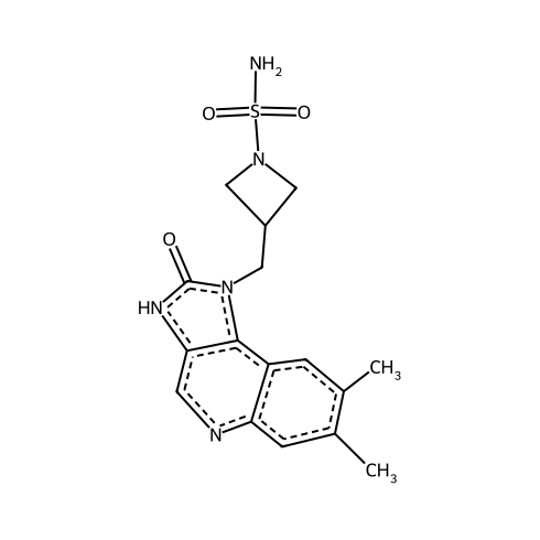 Cc1cc2ncc3[nH]c(=O)n(CC4CN(S(N)(=O)=O)C4)c3c2cc1C